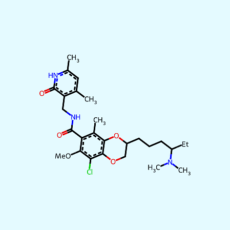 CCC(CCCC1COc2c(Cl)c(OC)c(C(=O)NCc3c(C)cc(C)[nH]c3=O)c(C)c2O1)N(C)C